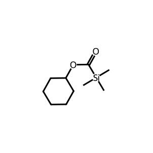 C[Si](C)(C)C(=O)OC1CCCCC1